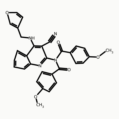 COc1ccc(C(=O)N(C(=O)c2ccc(OC)cc2)c2nc3ccccc3c(NCc3ccoc3)c2C#N)cc1